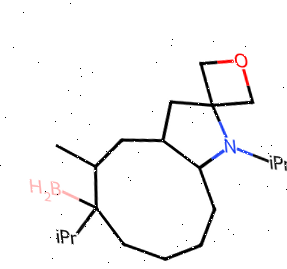 BC1(C(C)C)CCCCC2C(CC1C)CC1(COC1)N2C(C)C